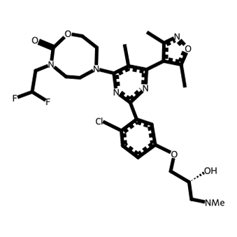 CNC[C@@H](O)COc1ccc(Cl)c(-c2nc(-c3c(C)noc3C)c(C)c(N3CCOC(=O)N(CC(F)F)CC3)n2)c1